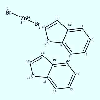 [Br][Zr+2][Br].c1ccc2[cH-]ccc2c1.c1ccc2[cH-]ccc2c1